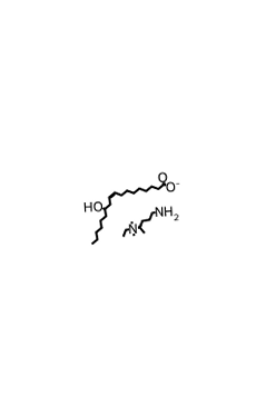 CCCCCCC(O)C/C=C\CCCCCCCC(=O)[O-].CC[N+](C)(C)C(C)CCCN